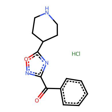 Cl.O=C(c1ccccc1)c1noc(C2CCNCC2)n1